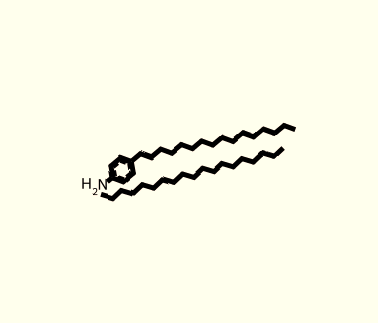 CCCCCCCCCCCCCCCCCCC.CCCCCCCCCCCCCCCCc1ccc(N)cc1